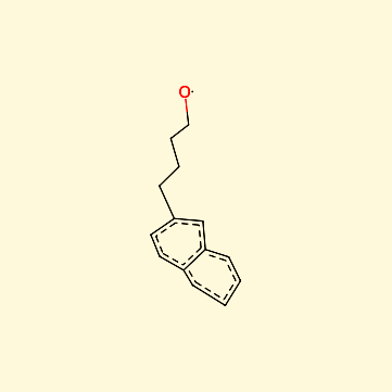 [O]CCCCc1ccc2ccccc2c1